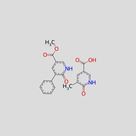 COC(=O)c1c[nH]c(=O)c(-c2ccccc2)c1.Cc1cc(C(=O)O)c[nH]c1=O